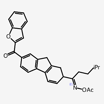 CC(=O)O/N=C(\CCC(C)C)C1C=CC2=C(Cc3cc(C(=O)c4cc5ccccc5o4)ccc32)C1